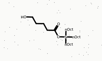 CCCCCCCC[Si](CCCCCCCC)(CCCCCCCC)OC(=O)CCCCO